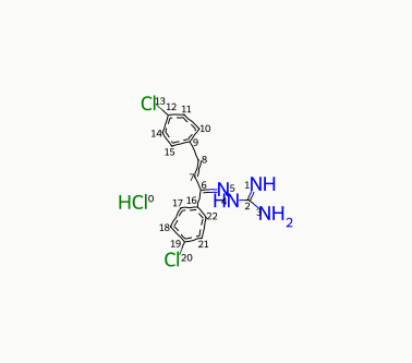 Cl.N=C(N)NN=C(C=Cc1ccc(Cl)cc1)c1ccc(Cl)cc1